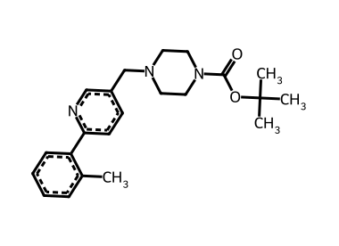 Cc1ccccc1-c1ccc(CN2CCN(C(=O)OC(C)(C)C)CC2)cn1